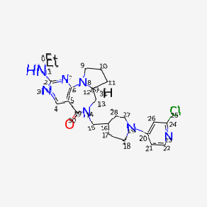 CCNc1ncc2c(n1)N1CCC[C@H]1CN(CC1CCN(c3ccnc(Cl)c3)CC1)C2=O